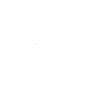 CC(C)S(=O)(=O)Nc1ccc(CNC(=O)c2ccc(C(C)(C)C)cc2)c(Cl)c1